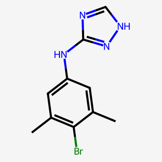 Cc1cc(Nc2nc[nH]n2)cc(C)c1Br